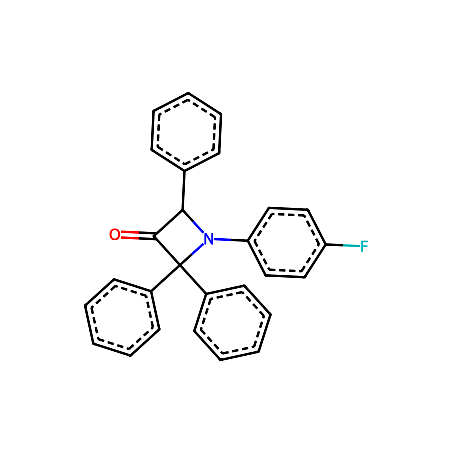 O=C1C(c2ccccc2)N(c2ccc(F)cc2)C1(c1ccccc1)c1ccccc1